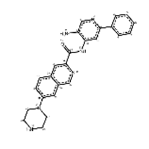 Nc1cnc(-c2ccccc2)cc1NC(=O)c1cc2ccc(N3CCNCC3)cc2cn1